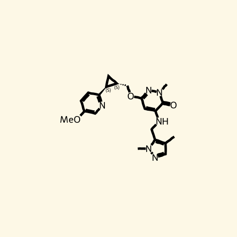 COc1ccc([C@H]2C[C@@H]2COc2cc(NCc3c(C)cnn3C)c(=O)n(C)n2)nc1